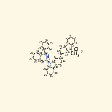 CC1(C)c2ccccc2-c2ccc(-c3ccc4c5ccccc5n(-c5cc6ccccc6c(-c6ccccc6)n5)c4c3)cc21